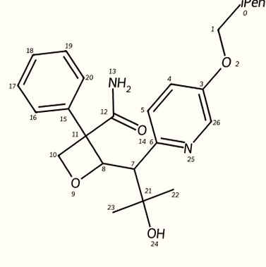 CCCC(C)COc1ccc(C(C2OCC2(C(N)=O)c2ccccc2)C(C)(C)O)nc1